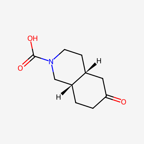 O=C1CC[C@@H]2CN(C(=O)O)CC[C@@H]2C1